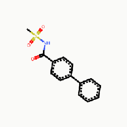 CS(=O)(=O)NC(=O)c1ccc(-c2cc[c]cc2)cc1